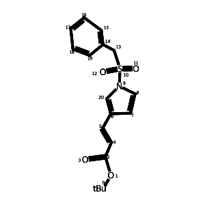 CC(C)(C)OC(=O)/C=C/c1ccn(S(=O)(=O)Cc2ccccc2)c1